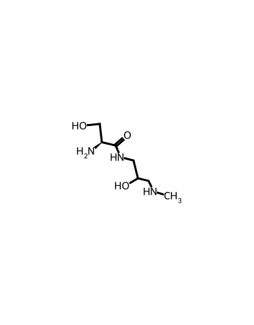 CNCC(O)CNC(=O)[C@@H](N)CO